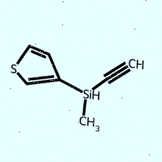 C#C[SiH](C)c1ccsc1